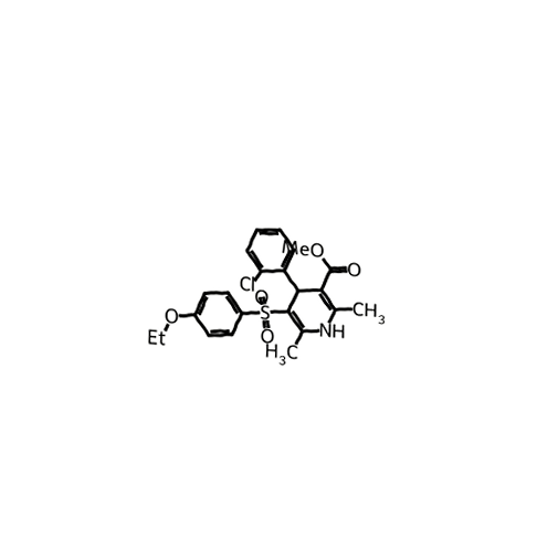 CCOc1ccc(S(=O)(=O)C2=C(C)NC(C)=C(C(=O)OC)C2c2ccccc2Cl)cc1